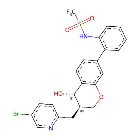 O=S(=O)(Nc1ccccc1-c1ccc2c(c1)OC[C@@H](Cc1ccc(Br)cn1)[C@@H]2O)C(F)(F)F